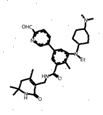 CCN(c1cc(-c2ccc(C=O)nc2)cc(C(=O)NCC2=C(C)CC(C)(C)NC2=O)c1C)C1CCC(N(C)C)CC1